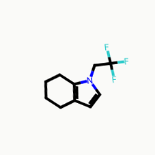 FC(F)(F)Cn1ccc2c1CCCC2